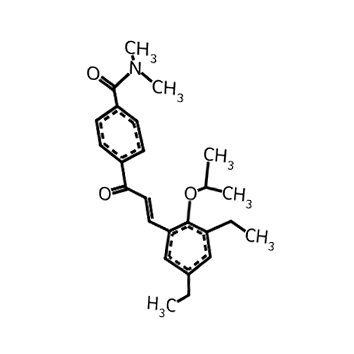 CCc1cc(C=CC(=O)c2ccc(C(=O)N(C)C)cc2)c(OC(C)C)c(CC)c1